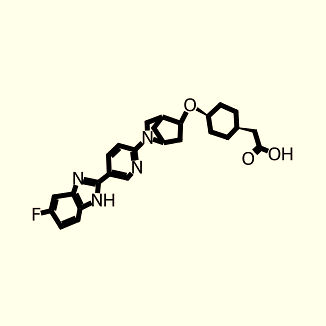 O=C(O)C[C@H]1CC[C@@H](OC2CC3CC2CN3c2ccc(-c3nc4cc(F)ccc4[nH]3)cn2)CC1